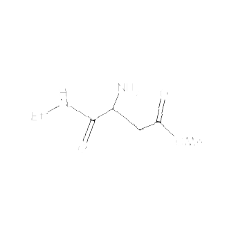 CCNC(=O)C(N)CC(=O)OC